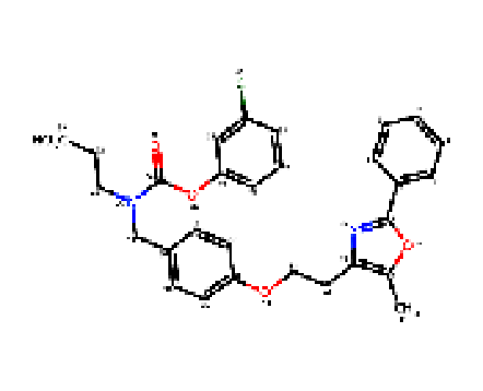 Cc1oc(-c2ccccc2)nc1CCOc1ccc(CN(CCC(=O)O)C(=O)Oc2cccc(Cl)c2)cc1